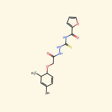 CCCC1=CC(C)C(OCC(=O)NNC(=S)NC(=O)c2ccco2)C=C1